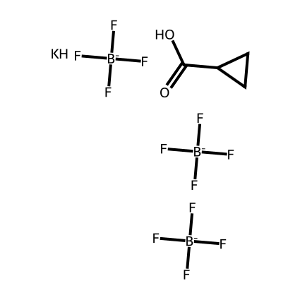 F[B-](F)(F)F.F[B-](F)(F)F.F[B-](F)(F)F.O=C(O)C1CC1.[KH]